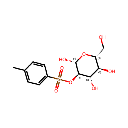 Cc1ccc(S(=O)(=O)O[C@@H]2[C@@H](O)[C@H](O)[C@@H](CO)O[C@H]2O)cc1